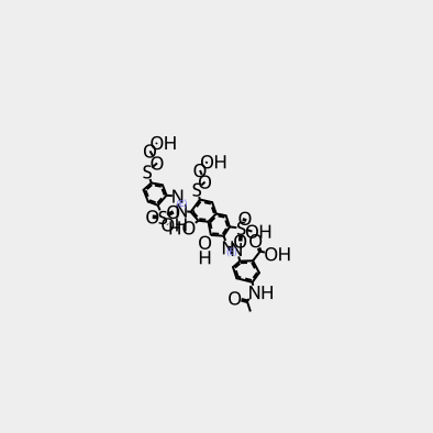 CC(=O)Nc1ccc(/N=N/c2c(S(=O)(=O)O)cc3cc(SOOO)c(/N=N/c4cc(SOOO)ccc4S(=O)(=O)O)c(O)c3c2O)c(C(=O)O)c1